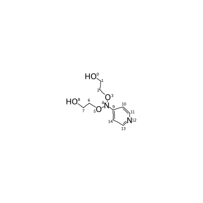 OCCON(OCCO)c1ccncc1